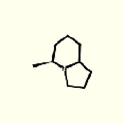 C[C@H]1CCCC2CCCN21